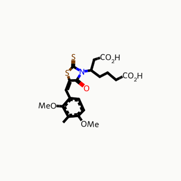 COc1ccc(C=C2SC(=S)N(C(CCCC(=O)O)CC(=O)O)C2=O)c(OC)c1C